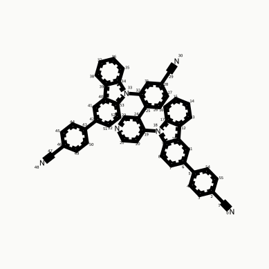 N#Cc1ccc(-c2ccc3c(c2)c2ccccc2n3-c2ccncc2-c2ccc(C#N)cc2-n2c3ccccc3c3cc(-c4ccc(C#N)cc4)ccc32)cc1